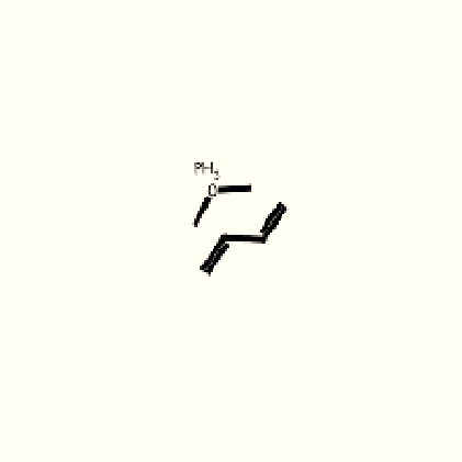 C=CC=C.COC.P